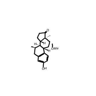 COC.C[C@@H]1Cc2cc(O)ccc2[C@H]2CC[C@]3(C)C(=O)CC[C@H]3[C@H]12